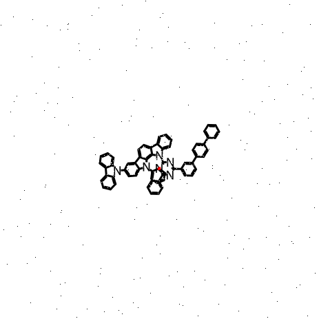 c1ccc(-c2ccc(-c3cccc(-c4nc(-c5ccccc5)nc(-n5c6ccccc6c6ccc7c8cc(-n9c%10ccccc%10c%10ccccc%109)ccc8n(-c8ccccc8)c7c65)n4)c3)cc2)cc1